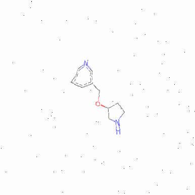 c1cncc(CO[C@H]2CCNC2)c1